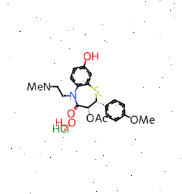 CNCCN1C(=O)[C@@H](OC(C)=O)[C@@H](c2ccc(OC)cc2)Sc2cc(O)ccc21.Cl.O